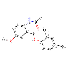 CCOc1ccc(NC(=O)CC)c(COc2ccc(C)cc2C)c1